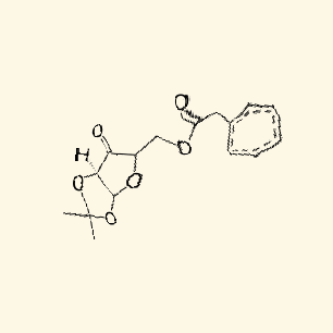 CC1(C)OC2OC(COC(=O)c3ccccc3)C(=O)[C@@H]2O1